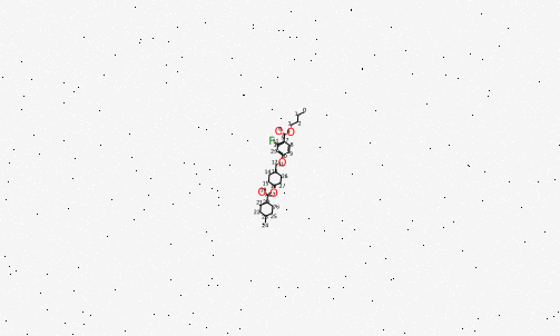 CCCCOC(=O)c1ccc(OCC2CCC(OC(=O)C3CCC(C)CC3)CC2)cc1F